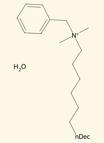 CCCCCCCCCCCCCCCC[N+](C)(C)Cc1ccccc1.O